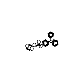 O=C(COC1COCCO1)Oc1ccc([S+](c2ccccc2)c2ccccc2)cc1